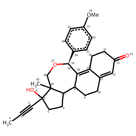 CC#CC1(O)CCC2C3CCC4=CC(=O)CCC4=C3[C@H](c3ccc(OC)cc3)OCC21C